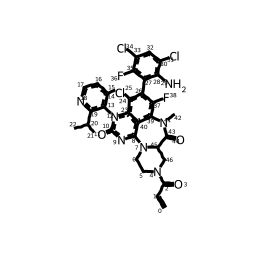 C=CC(=O)N1CCN2c3nc(=O)n(-c4c(C)ccnc4C(C)C)c4c(Cl)c(-c5c(N)c(Cl)cc(Cl)c5F)c(F)c(c34)N(C)C(=O)C2C1